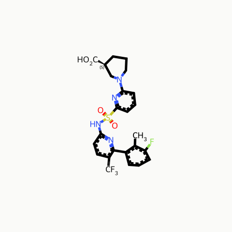 Cc1c(F)cccc1-c1nc(NS(=O)(=O)c2cccc(N3CCC[C@H](C(=O)O)C3)n2)ccc1C(F)(F)F